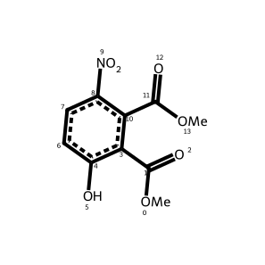 COC(=O)c1c(O)ccc([N+](=O)[O-])c1C(=O)OC